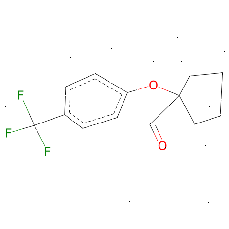 O=CC1(Oc2ccc(C(F)(F)F)cc2)CCCC1